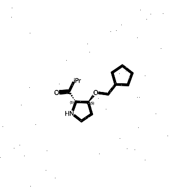 CC(C)C(=O)[C@H]1NCC[C@@H]1OCC1CCCC1